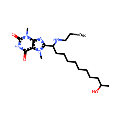 CCCCCCCCCCCCNC(CCCCCCCCC(C)O)c1nc2c(c(=O)[nH]c(=O)n2C)n1C